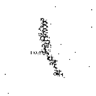 C[C@]12CCC[C@]3(C(=O)N3C(=O)[C@@]3(C)CCC[C@]4(C)c5cc(NC(=O)[C@H](CCC(=O)O)NC(=O)OCc6ccc(NC(=O)CCCCNC(N)=O)cc6)ccc5CC[C@@H]34)C1CCc1ccc(O)cc12